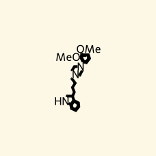 COc1cccc(N2CCN(CCCCC3CNc4ccccc43)CC2)c1OC